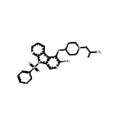 CC(F)CN1CCC(Oc2c(N)ncc3c2c2cccnc2n3S(=O)(=O)C2=CC=CCC2)CC1